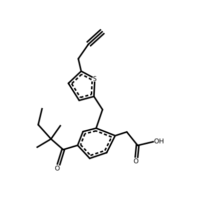 C#CCc1ccc(Cc2cc(C(=O)C(C)(C)CC)ccc2CC(=O)O)s1